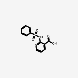 O=C(O)c1cccnc1NS(=O)(=O)c1ccccc1